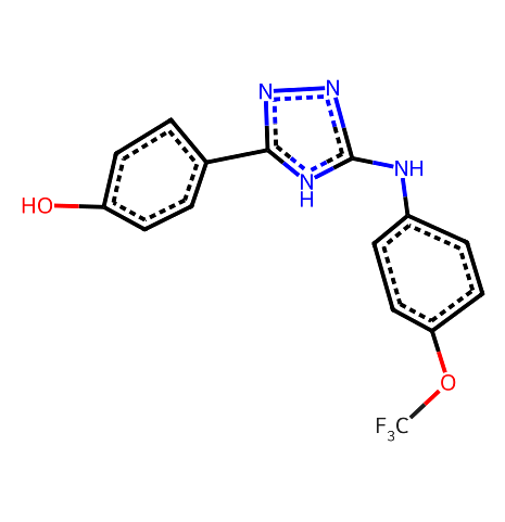 Oc1ccc(-c2nnc(Nc3ccc(OC(F)(F)F)cc3)[nH]2)cc1